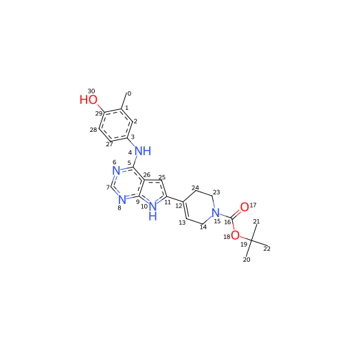 Cc1cc(Nc2ncnc3[nH]c(C4=CCN(C(=O)OC(C)(C)C)CC4)cc23)ccc1O